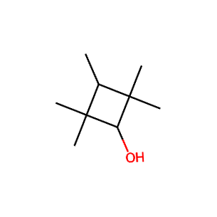 CC1C(C)(C)C(O)C1(C)C